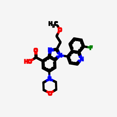 COCCc1nc2c(C(=O)O)cc(N3CCOCC3)cc2n1-c1ccnc2c(F)cccc12